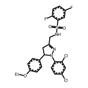 CCOc1ccc(C2CC(CNS(=O)(=O)c3cc(F)ccc3F)=NN2c2ccc(Cl)cc2Cl)cc1